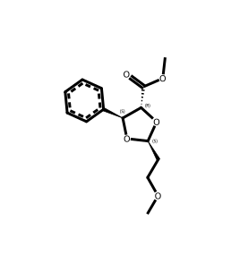 COCC[C@@H]1O[C@@H](C(=O)OC)[C@H](c2ccccc2)O1